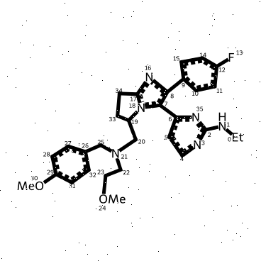 CCNc1nccc(-c2c(-c3ccc(F)cc3)nc3n2C(CN(CCOC)Cc2ccc(OC)cc2)CC3)n1